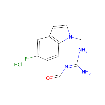 Cl.Cn1ccc2cc(F)ccc21.NC(N)=NC=O